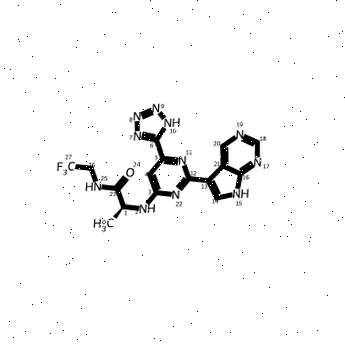 C[C@H](Nc1cc(-c2nnn[nH]2)nc(-c2c[nH]c3ncncc23)n1)C(=O)NCC(F)(F)F